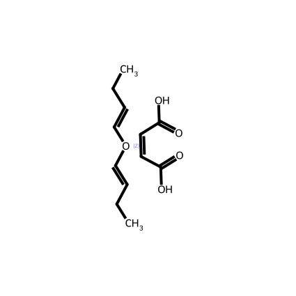 CCC=COC=CCC.O=C(O)/C=C\C(=O)O